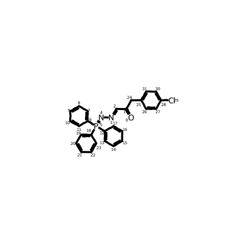 O=C(C=NN=P(c1ccccc1)(c1ccccc1)c1ccccc1)Cc1ccc(Cl)cc1